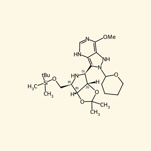 COC1=C2NN(C3CCCCO3)C([C@@H]3N[C@H](CO[Si](C)(C)C(C)(C)C)[C@H]4OC(C)(C)O[C@H]43)=C2NC=N1